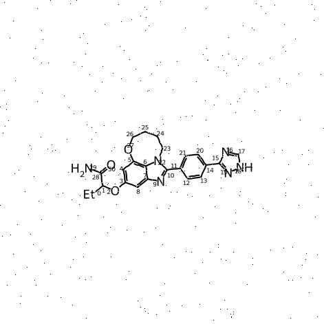 CCC(Oc1cc2c3c(c1)nc(-c1ccc(-c4nc[nH]n4)cc1)n3CCCCO2)C(N)=O